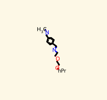 CCCOCCOCCN=Cc1ccc(C=NC)cc1